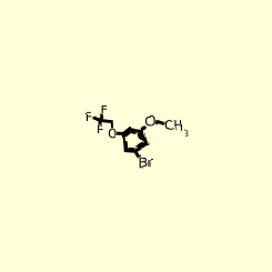 COc1cc(Br)cc(OCC(F)(F)F)c1